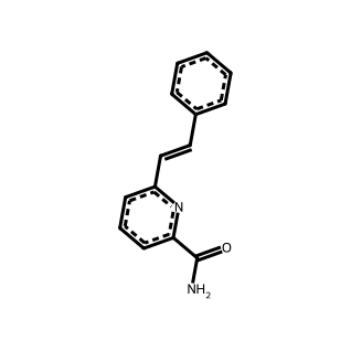 NC(=O)c1cccc(C=Cc2ccccc2)n1